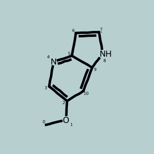 COc1cnc2c[c][nH]c2c1